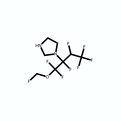 FCOC(F)(F)C(F)(C(F)C(F)(F)F)N1CCNC1